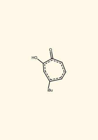 CCC(C)c1cccc(=O)c(O)c1